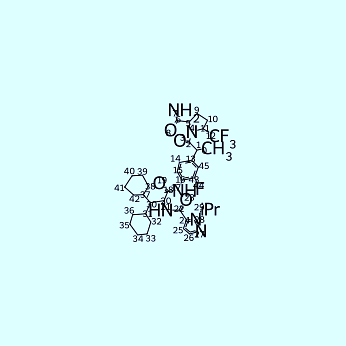 CC(C(=O)N1C(C(N)=O)CCC1C(F)(F)F)c1ccc(NC(=O)C(NC(=O)c2ccnn2C(C)C)C(C2CCCCC2)C2CCCCC2)c(F)c1